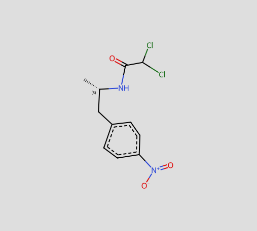 C[C@@H](Cc1ccc([N+](=O)[O-])cc1)NC(=O)C(Cl)Cl